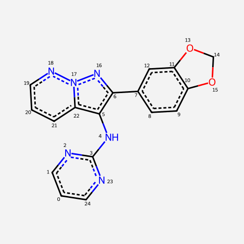 c1cnc(Nc2c(-c3ccc4c(c3)OCO4)nn3ncccc23)nc1